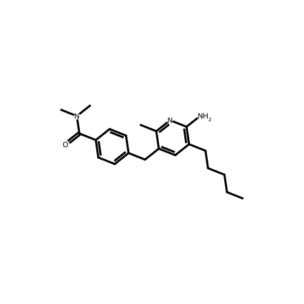 CCCCCc1cc(Cc2ccc(C(=O)N(C)C)cc2)c(C)nc1N